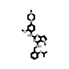 COc1cc(N2CCN(C)CC2)ccc1Nc1nc(NCc2ccccc2SC(C)C)c2c(ccn2C)n1